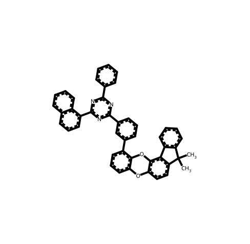 CC1(C)c2ccccc2-c2c1ccc1c2Oc2c(cccc2-c2cccc(-c3nc(-c4ccccc4)nc(-c4cccc5ccccc45)n3)c2)O1